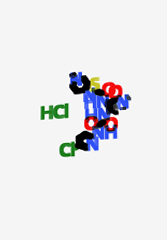 C[C@@H](NC(=O)C(=O)Nc1ccc(Cl)cn1)[C@H](NC(=O)c1nc2c(s1)CN(C)CC2)C(=O)N(C)C.Cl